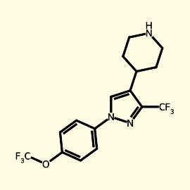 FC(F)(F)Oc1ccc(-n2cc(C3CCNCC3)c(C(F)(F)F)n2)cc1